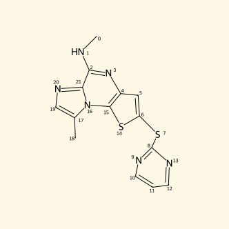 CNc1nc2cc(Sc3ncccn3)sc2n2c(C)cnc12